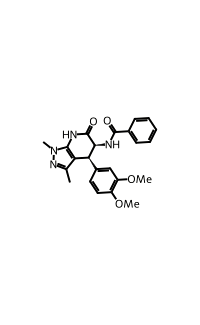 COc1ccc([C@H]2c3c(C)nn(C)c3NC(=O)[C@H]2NC(=O)c2ccccc2)cc1OC